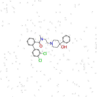 CN(CCN1CCC(O)(c2ccccc2)CC1)C(=O)c1ccccc1-c1ccc(Cl)c(Cl)c1